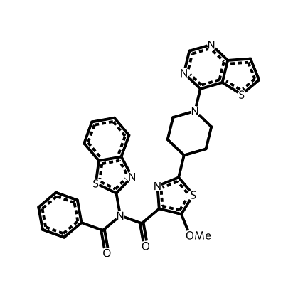 COc1sc(C2CCN(c3ncnc4ccsc34)CC2)nc1C(=O)N(C(=O)c1ccccc1)c1nc2ccccc2s1